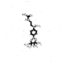 CN(CCNC(=O)O)c1ccc(B2OC(C)(C)C(C)(C)O2)cc1